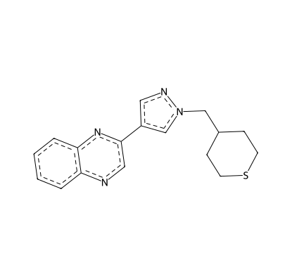 c1ccc2nc(-c3cnn(CC4CCSCC4)c3)cnc2c1